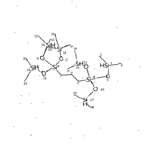 C[SiH](C)O[Si](CCC[Si](O[SiH](C)C)(O[SiH](C)C)O[Si](C)(C)C)(O[SiH](C)C)O[SiH](C)C